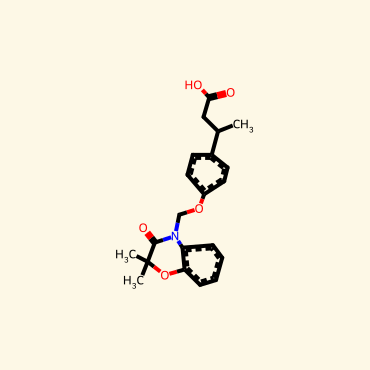 CC(CC(=O)O)c1ccc(OCN2C(=O)C(C)(C)Oc3ccccc32)cc1